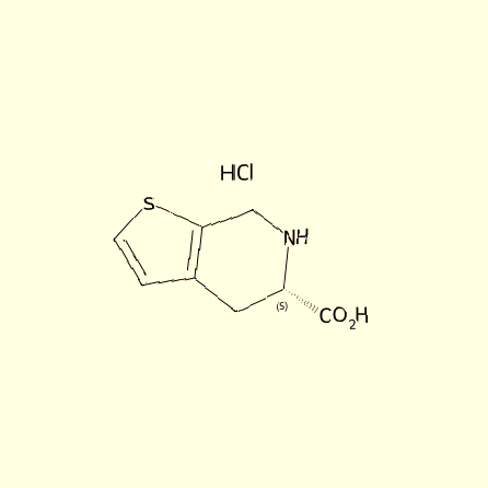 Cl.O=C(O)[C@@H]1Cc2ccsc2CN1